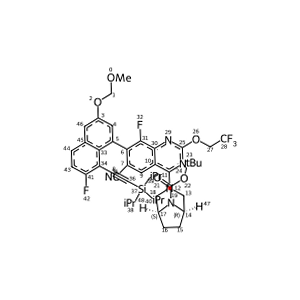 COCOc1cc(-c2c(C#N)cc3c(N4C[C@H]5CC[C@@H](C4)N5C(=O)OC(C)(C)C)nc(OCC(F)(F)F)nc3c2F)c2c(C#C[Si](C(C)C)(C(C)C)C(C)C)c(F)ccc2c1